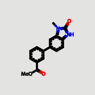 COC(=O)c1cccc(-c2ccc3[nH]c(=O)n(C)c3c2)c1